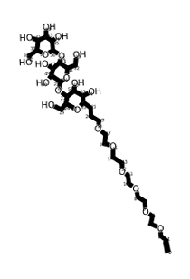 C=CCOCCOCCOCCOCCOCCOCCCC1OC(CO)C(OC2OC(CO)C(OC3OC(CO)C(O)C(O)C3O)C(O)C2O)C(O)C1O